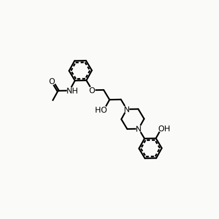 CC(=O)Nc1ccccc1OCC(O)CN1CCN(c2ccccc2O)CC1